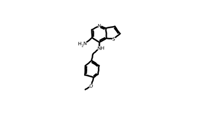 COc1ccc(CNc2c(N)cnc3ccsc23)cc1